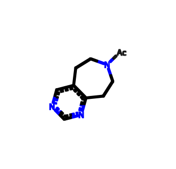 CC(=O)N1CCc2cncnc2CC1